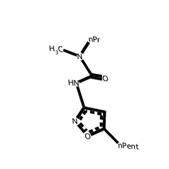 CCCCCc1cc(NC(=O)N(C)CCC)no1